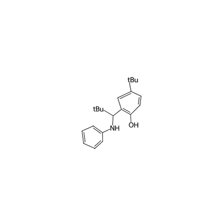 CC(C)(C)c1ccc(O)c(C(Nc2ccccc2)C(C)(C)C)c1